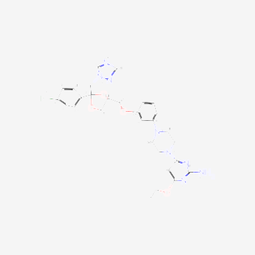 CCOc1cc(N2CCN(c3cccc(OCC4COC(Cn5cncn5)(c5ccc(Br)cc5)O4)c3)CC2)nc(N)n1